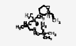 C=CC[SiH](O[Si](C)(C)C)O[Si](C)(C)C.C=C[SiH]1CCCCO1